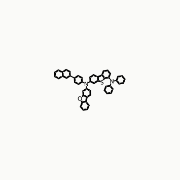 c1ccc(N(c2ccccc2)c2cccc3c2sc2cc(N(c4ccc(-c5ccc6ccccc6c5)cc4)c4ccc5c(c4)oc4ccccc45)ccc23)cc1